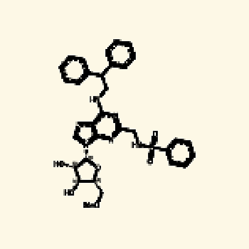 COC[C@H]1O[C@@H](n2cnc3c(NCC(c4ccccc4)c4ccccc4)nc(CNS(=O)(=O)c4ccccc4)nc32)[C@@H](O)[C@@H]1O